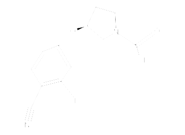 N#Cc1ccc(O[C@H]2CCN(C(=O)O)C2)cc1F